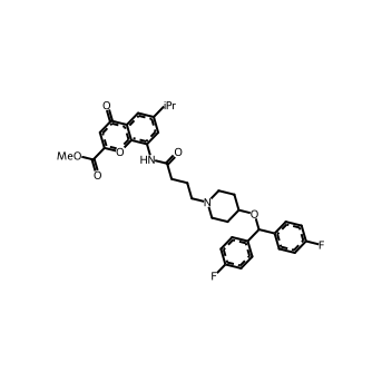 COC(=O)c1cc(=O)c2cc(C(C)C)cc(NC(=O)CCCN3CCC(OC(c4ccc(F)cc4)c4ccc(F)cc4)CC3)c2o1